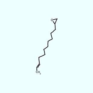 CC=CCCCCCCCCC1CO1